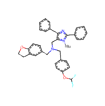 CCCCn1c(-c2ccccc2)nc(-c2ccccc2)c1CN(Cc1ccc(OC(F)F)cc1)Cc1ccc2c(c1)CCO2